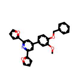 COc1cc(-c2cc(-c3ccco3)nc(-c3ccco3)c2)ccc1OCc1ccccc1